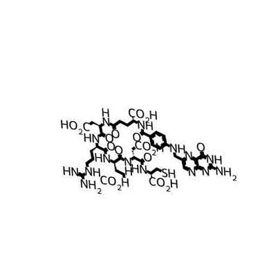 N=C(N)NCCC[C@@H](NC(=O)[C@@H](CC(=O)O)NC(=O)CC[C@@H](NC(=O)c1ccc(NCc2cnc3nc(N)[nH]c(=O)c3n2)cc1)C(=O)O)C(=O)N[C@H](CCC(=O)O)C(=O)N[C@H](CC(=O)O)C(=O)N[C@H](CS)C(=O)O